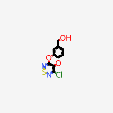 O=c1c(Cl)nsnc1Oc1cccc(CO)c1